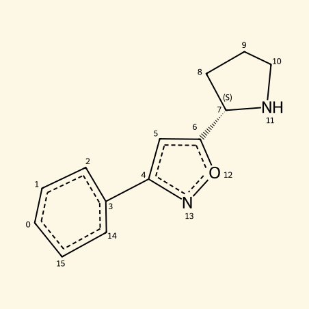 c1ccc(-c2cc([C@@H]3CCCN3)on2)cc1